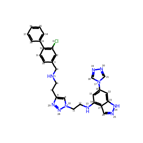 Clc1cc(CNCCc2cn(CCNc3cc(-n4cnnc4)cc4[nH]ncc34)nn2)ccc1-c1ccccc1